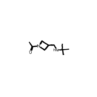 CC(=O)N1CC(CNC(C)(C)C)C1